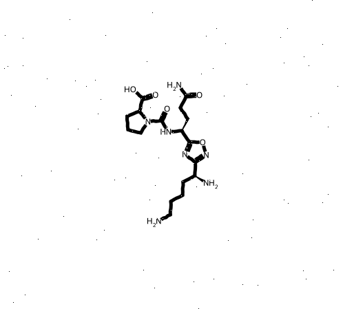 NCCCC[C@H](N)c1noc([C@H](CCC(N)=O)NC(=O)N2CCCC2C(=O)O)n1